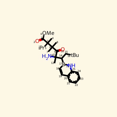 COC(=O)C(C)(C(C)C)C(C)(C)C(=O)C(C)(N)C(CC(C)(C)C)B1C=Cc2ccccc2N1